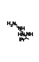 CC(C)C(C)C(=N)NCCNCCN